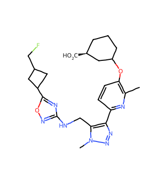 Cc1nc(-c2nnn(C)c2CNc2noc(C3CC(CF)C3)n2)ccc1OC1CCC[C@H](C(=O)O)C1